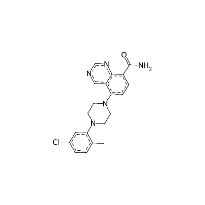 Cc1ccc(Cl)cc1N1CCN(c2ccc(C(N)=O)c3ncncc23)CC1